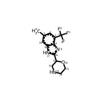 Cc1cc(C(F)(F)F)c2nc(C3CNCCO3)[nH]c2c1